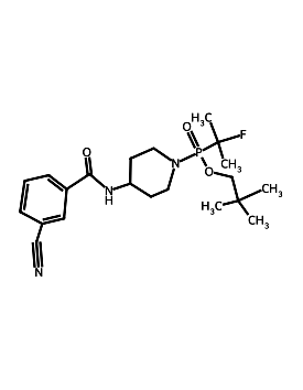 CC(C)(C)COP(=O)(N1CCC(NC(=O)c2cccc(C#N)c2)CC1)C(C)(C)F